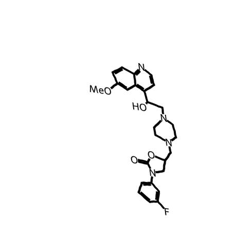 COc1ccc2nccc([C@H](O)CN3CCN(CC4CN(c5cccc(F)c5)C(=O)O4)CC3)c2c1